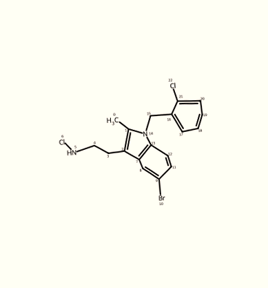 Cc1c(CCNCl)c2cc(Br)ccc2n1Cc1ccccc1Cl